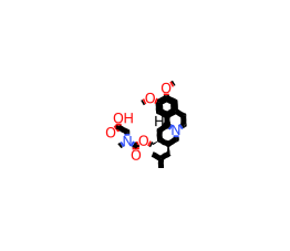 COc1cc2c(cc1OC)[C@H]1C[C@@H](COC(=O)N(C)CC(=O)O)[C@H](CC(C)C)CN1CC2